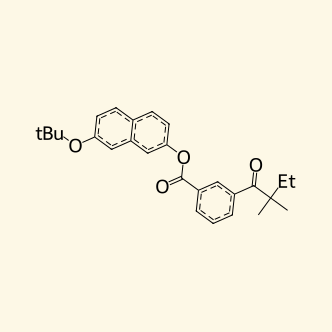 CCC(C)(C)C(=O)c1cccc(C(=O)Oc2ccc3ccc(OC(C)(C)C)cc3c2)c1